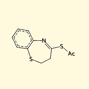 CC(=O)SC1=Nc2ccccc2SCC1